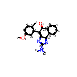 COc1ccc(C)c(C2=C3N=C(N(C)C)N=C3c3ccccc3C2=O)c1